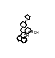 Cl.Cl.OC1(C(CN2CCC(N3CCCC3)CC2)c2cccc3ccccc23)CCCCC1